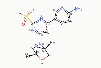 CS(=O)(=O)c1nc(-c2ccc(N)nc2)cc(N2C[C@@H]3C[C@H]2CO3)n1